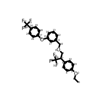 CCOc1ccc(C(COCc2cccc(Oc3ccc(C(F)(F)F)cc3)c2)C(F)(F)F)cc1